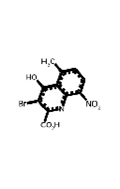 Cc1ccc([N+](=O)[O-])c2nc(C(=O)O)c(Br)c(O)c12